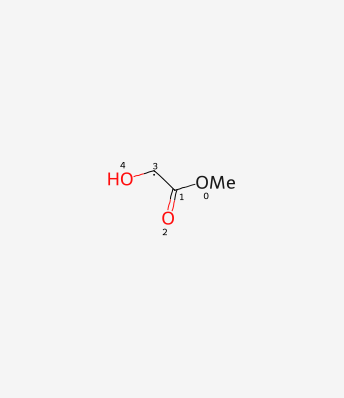 COC(=O)[CH]O